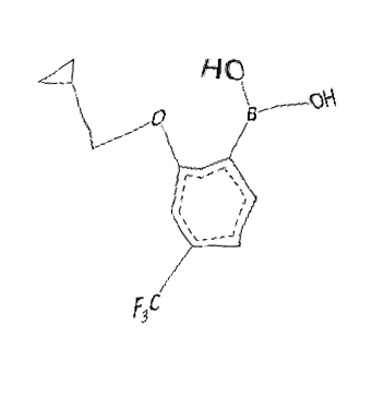 OB(O)c1ccc(C(F)(F)F)cc1OCC1CC1